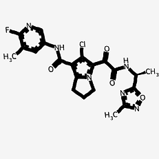 Cc1noc([C@H](C)NC(=O)C(=O)c2c(Cl)c(C(=O)Nc3cnc(F)c(C)c3)c3n2CCC3)n1